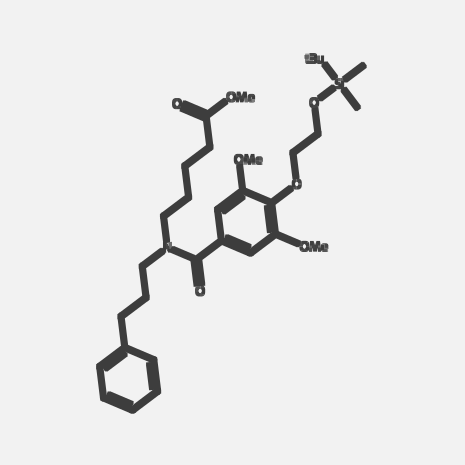 COC(=O)CCCCN(CCCc1ccccc1)C(=O)c1cc(OC)c(OCCO[Si](C)(C)C(C)(C)C)c(OC)c1